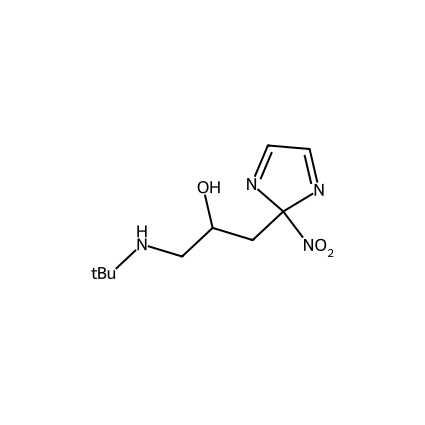 CC(C)(C)NCC(O)CC1([N+](=O)[O-])N=CC=N1